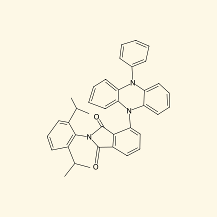 CC(C)c1cccc(C(C)C)c1N1C(=O)c2cccc(N3c4ccccc4N(c4ccccc4)c4ccccc43)c2C1=O